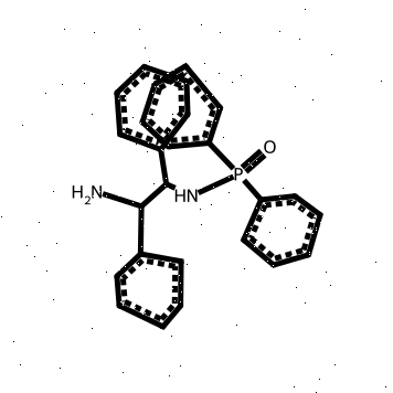 NC(c1ccccc1)C(NP(=O)(c1ccccc1)c1ccccc1)c1ccccc1